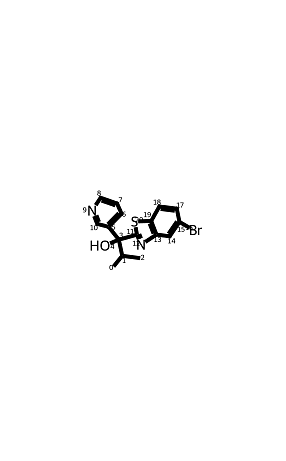 CC(C)C(O)(c1cccnc1)c1nc2cc(Br)ccc2s1